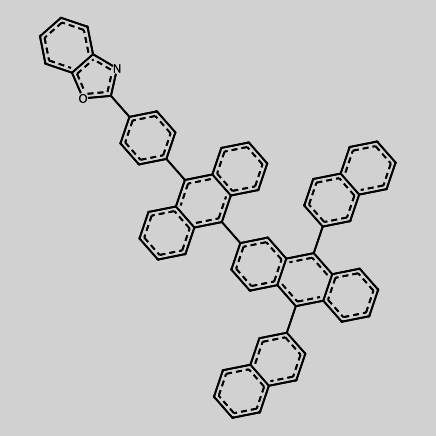 c1ccc2cc(-c3c4ccccc4c(-c4ccc5ccccc5c4)c4cc(-c5c6ccccc6c(-c6ccc(-c7nc8ccccc8o7)cc6)c6ccccc56)ccc34)ccc2c1